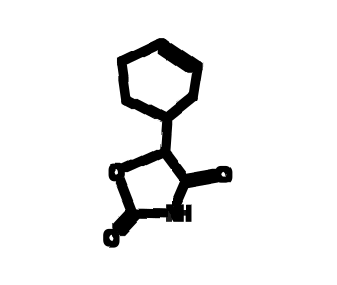 O=C1NC(=O)C(C2CC=CCC2)O1